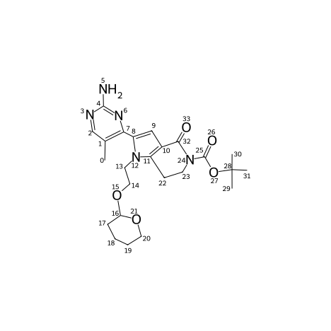 Cc1cnc(N)nc1-c1cc2c(n1CCOC1CCCCO1)CCN(C(=O)OC(C)(C)C)C2=O